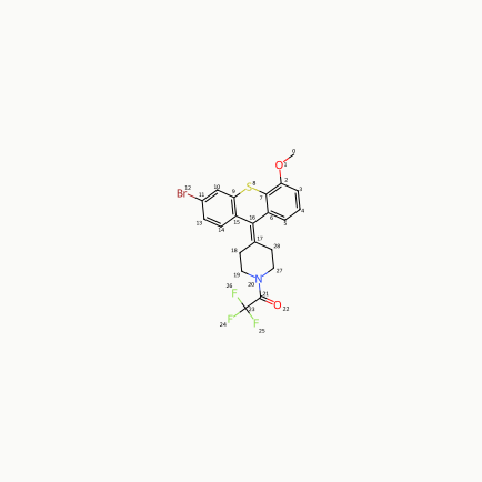 COc1cccc2c1Sc1cc(Br)ccc1C2=C1CCN(C(=O)C(F)(F)F)CC1